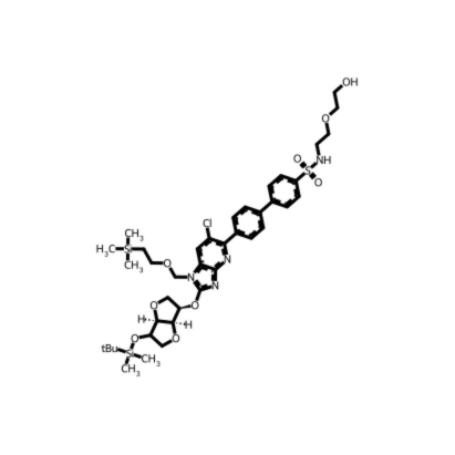 CC(C)(C)[Si](C)(C)OC1CO[C@H]2[C@@H]1OC[C@H]2Oc1nc2nc(-c3ccc(-c4ccc(S(=O)(=O)NCCOCCO)cc4)cc3)c(Cl)cc2n1COCC[Si](C)(C)C